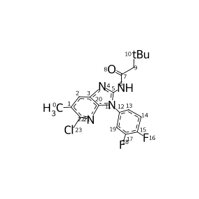 Cc1cc2nc(NC(=O)CC(C)(C)C)n(-c3ccc(F)c(F)c3)c2nc1Cl